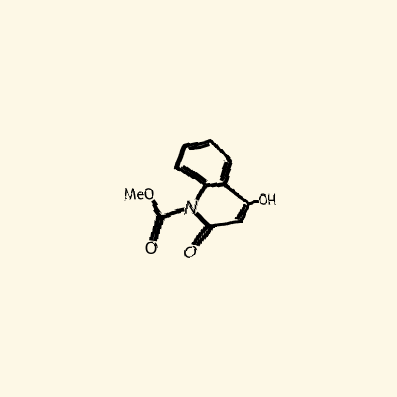 COC(=O)n1c(=O)cc(O)c2ccccc21